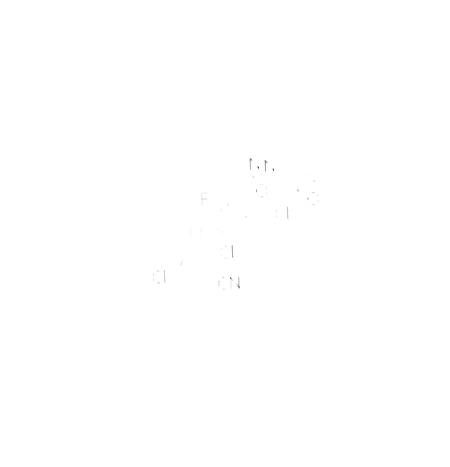 N#Cc1cc(Cl)cc(Oc2c(Cl)ccc(Cc3nnc(-c4ccoc4Cl)o3)c2F)c1